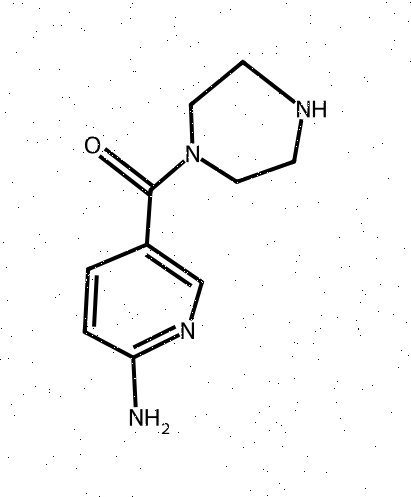 Nc1ccc(C(=O)N2CCNCC2)cn1